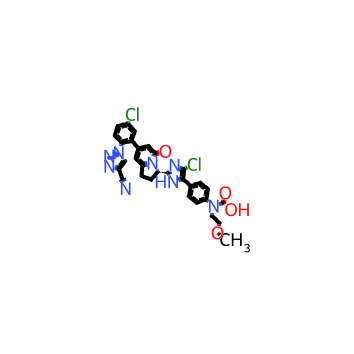 COCCN(C(=O)O)c1ccc(-c2[nH]c([C@@H]3CCc4cc(-c5cc(Cl)ccc5-n5cc(C#N)nn5)cc(=O)n43)nc2Cl)cc1